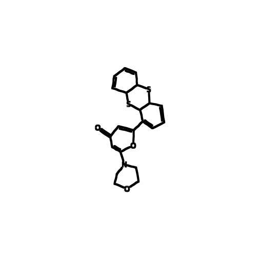 O=c1cc(C2=CC=CC3SC4C=CC=CC4SC23)oc(N2CCOCC2)c1